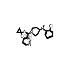 CN(c1ccccc1Cl)C1CCN(/C(=N/C2(C(=O)O)CC2)c2cccnn2)CC1